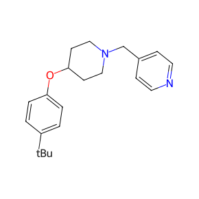 CC(C)(C)c1ccc(OC2CCN(Cc3ccncc3)CC2)cc1